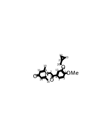 COc1ccc(C(=O)Cn2c(C)cc(=O)cc2C)cc1OCC1CC1